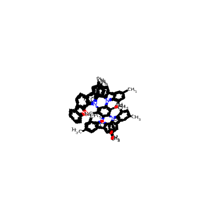 Cc1ccc2c(c1)c1ccc3c4ccccc4oc3c1n2-c1c(C#N)c(-n2c3c(C)cc(C)cc3c3cc(C)cc(C)c32)c(-n2c3c(C)cc(C)cc3c3cc(C)cc(C)c32)c(C#N)c1-n1c2c(C)cc(C)cc2c2cc(C)cc(C)c21